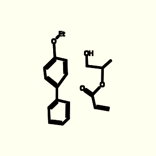 C=CC(=O)OC(C)CO.CCOc1ccc(-c2ccccc2)cc1